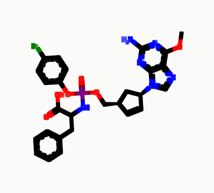 COc1nc(N)nc2c1ncn2[C@H]1C=C[C@@H](COP(=O)(NC(Cc2ccccc2)C(=O)O)Oc2ccc(Br)cc2)C1